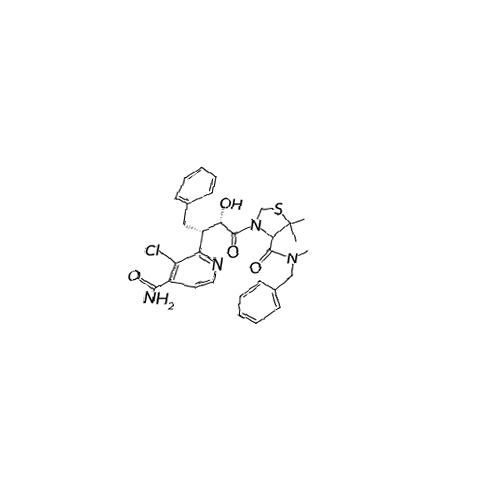 CN(Cc1ccccc1)C(=O)C1N(C(=O)[C@@H](O)[C@@H](Cc2ccccc2)c2nccc(C(N)=O)c2Cl)CSC1(C)C